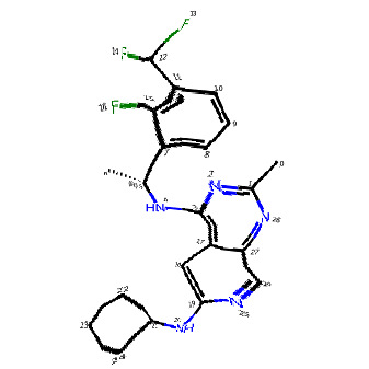 Cc1nc(N[C@H](C)c2cccc(C(F)F)c2F)c2cc(NC3CCC3)ncc2n1